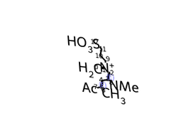 C=[N+](/C=C(\C=C(/C)C(C)=O)NC)CCCS(=O)(=O)O